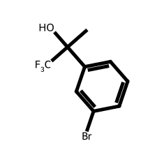 CC(O)(c1cccc(Br)c1)C(F)(F)F